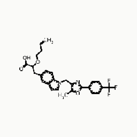 C=CCCOC(Cc1ccc2c(ccn2Cc2nc(-c3ccc(C(F)(F)F)cc3)oc2C)c1)C(=O)O